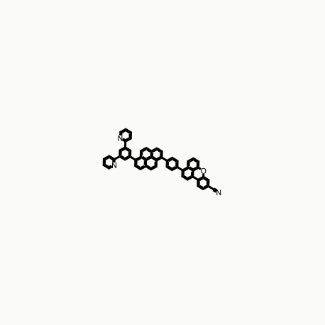 N#Cc1ccc2c(c1)Oc1cccc3c(-c4ccc(-c5ccc6ccc7c(-c8cc(-c9ccccn9)cc(-c9ccccn9)c8)ccc8ccc5c6c87)cc4)ccc-2c13